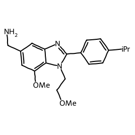 COCCn1c(-c2ccc(C(C)C)cc2)nc2cc(CN)cc(OC)c21